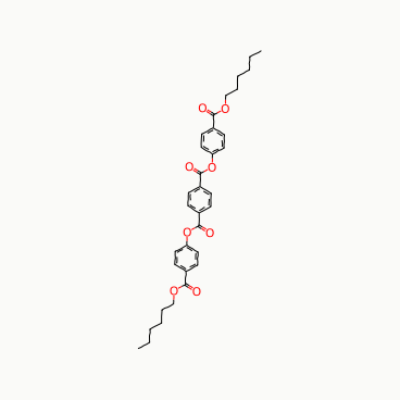 CCCCCCOC(=O)c1ccc(OC(=O)c2ccc(C(=O)Oc3ccc(C(=O)OCCCCCC)cc3)cc2)cc1